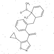 C[S+]([O-])C1(C)C=CC=CC1Cc1ccccc1C(=O)c1cnoc1C1CC1